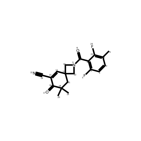 Cc1ccc(F)c(C(=O)N2CC3(C=C(C#N)C(=O)C(C)(C)C3)C2)c1F